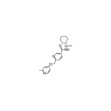 Cc1cc(OCc2ccc(C(=O)N[C@H](C)C3CCCCC3)cn2)ccn1